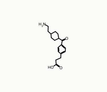 NCCC1CCC(C(=O)c2ccc(CCC(=O)O)cc2)CC1